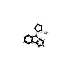 O[C@H]1CCC[C@H]1C1c2ccccc2-c2cncn21